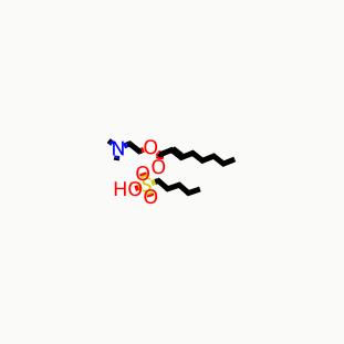 CCCCCC=CC(=O)OCCN(C)C.CCCCCS(=O)(=O)O